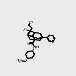 CCC1(CCCl)C2CC3(C(=S)N[C@H]4CC[C@H](CN)CC4)CC1CC(c1ccccc1)(C2)C3